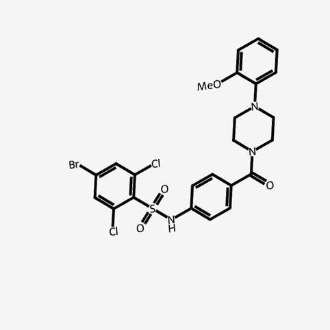 COc1ccccc1N1CCN(C(=O)c2ccc(NS(=O)(=O)c3c(Cl)cc(Br)cc3Cl)cc2)CC1